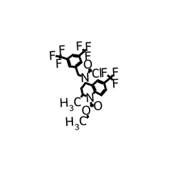 CCOC(=O)N1c2ccc(C(F)(F)F)cc2C(N(Cc2cc(C(F)(F)F)cc(C(F)(F)F)c2)C(=O)Cl)CC1C